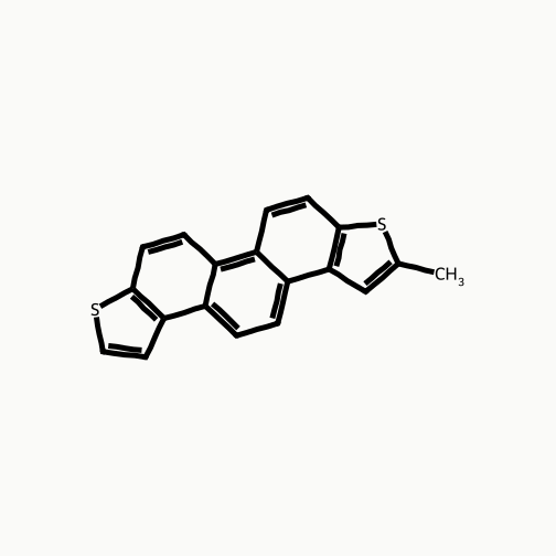 Cc1cc2c(ccc3c2ccc2c4ccsc4ccc23)s1